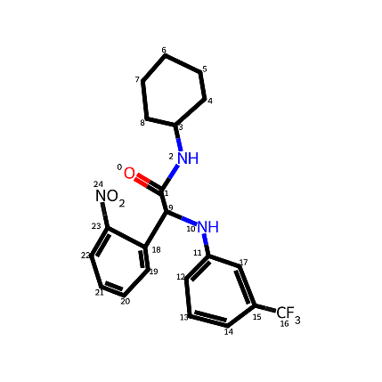 O=C(NC1CCCCC1)C(Nc1cccc(C(F)(F)F)c1)c1ccccc1[N+](=O)[O-]